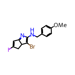 COc1ccc(CNC2=C(Br)C3CC(I)=CC3=N2)cc1